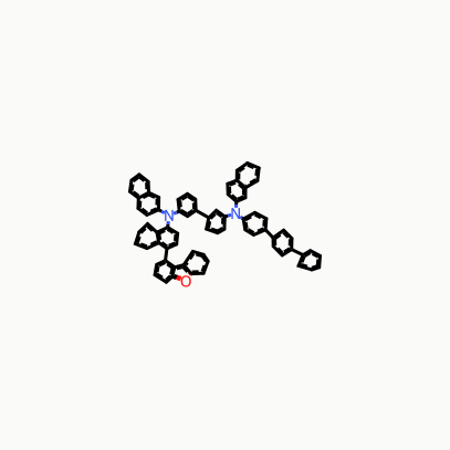 c1ccc(-c2ccc(-c3ccc(N(c4cccc(-c5cccc(N(c6ccc7ccccc7c6)c6ccc(-c7cccc8oc9ccccc9c78)c7ccccc67)c5)c4)c4ccc5ccccc5c4)cc3)cc2)cc1